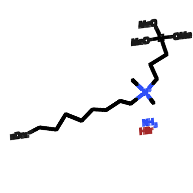 Br.CCCCCCCCCCCCCCCCCC[N+](C)(C)CCC[Si](OC)(OC)OC.N